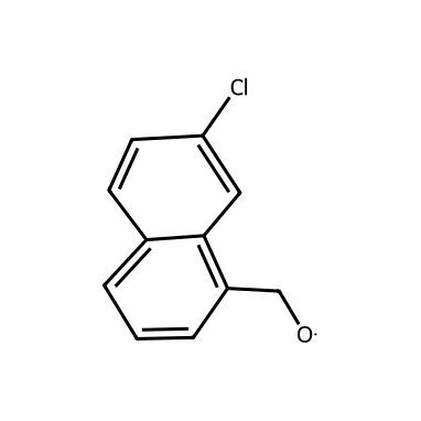 [O]Cc1cccc2ccc(Cl)cc12